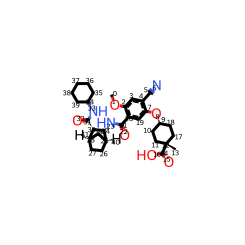 COc1cc(C#N)c(O[C@H]2CC[C@@](C)(C(=O)O)CC2)cc1C(=O)N[C@@H]1[C@H]2CC[C@H](C2)[C@@H]1C(=O)NC1CCCCC1